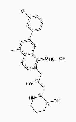 Cc1cc(-c2cccc(Cl)c2)nc2c(=O)n(C[C@@H](O)C[C@H]3NCCC[C@@H]3O)cnc12.Cl.Cl